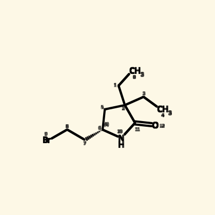 CCC1(CC)C[C@@H](CCBr)NC1=O